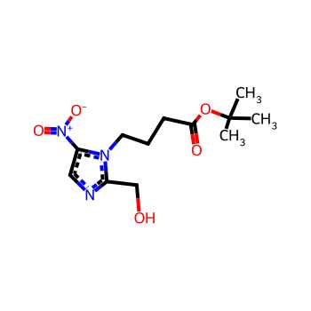 CC(C)(C)OC(=O)CCCn1c([N+](=O)[O-])cnc1CO